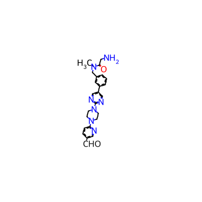 CN(Cc1cccc(-c2cnc(N3CCN(c4ccc(C=O)cn4)CC3)nc2)c1)C(=O)CN